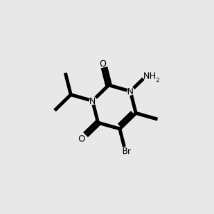 Cc1c(Br)c(=O)n(C(C)C)c(=O)n1N